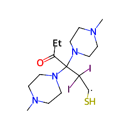 CCC(=O)C(N1CCN(C)CC1)(N1CCN(C)CC1)C(I)(I)[CH]S